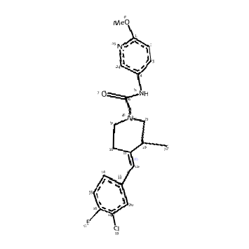 COc1ccc(NC(=O)N2CC/C(=C\c3ccc(F)c(Cl)c3)C(C)C2)cn1